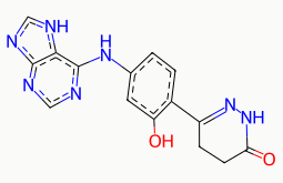 O=C1CCC(c2ccc(Nc3ncnc4nc[nH]c34)cc2O)=NN1